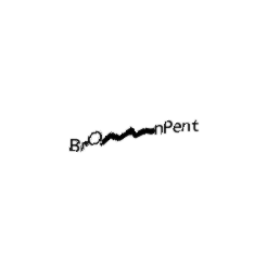 CCCCCCCCCCCCOBr